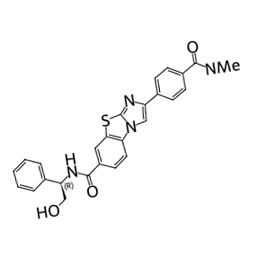 CNC(=O)c1ccc(-c2cn3c(n2)sc2cc(C(=O)N[C@@H](CO)c4ccccc4)ccc23)cc1